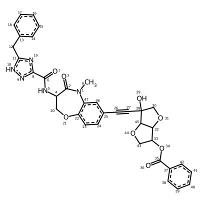 CN1C(=O)C(NC(=O)c2n[nH]c(Cc3ccccc3)n2)COc2ccc(C#CC3(O)COC4C(OC(=O)c5ccccc5)COC43)cc21